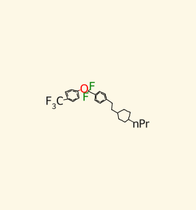 CCCC1CCC(CCc2ccc(C(F)(F)Oc3ccc(C(F)(F)F)cc3)cc2)CC1